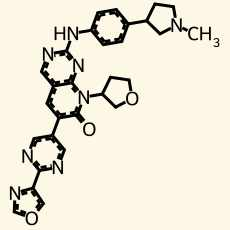 CN1CCC(c2ccc(Nc3ncc4cc(-c5cnc(-c6cocn6)nc5)c(=O)n(C5CCOC5)c4n3)cc2)C1